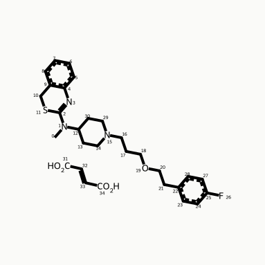 CN(C1=Nc2ccccc2CS1)C1CCN(CCCOCCc2ccc(F)cc2)CC1.O=C(O)C=CC(=O)O